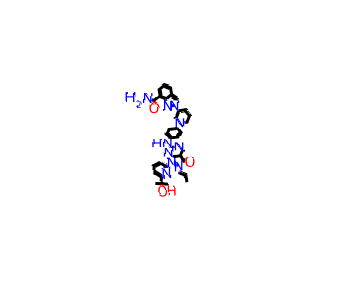 C=CCn1c(=O)c2cnc(Nc3ccc(N4CCCC(n5cc6cccc(C(N)=O)c6n5)C4)cc3)nc2n1-c1cccc(C(C)(C)O)n1